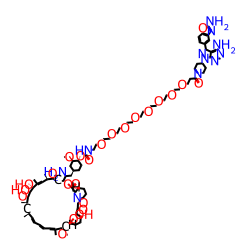 CO[C@H]1C[C@@H]2CC[C@@H](C)[C@@](O)(O2)C(=O)C(=O)N2CCCC[C@H]2C(=O)O[C@H]([C@H](N)C[C@@H]2CC[C@@H](OC(=O)NCCOCCOCCOCCOCCOCCOCCOCCOCCC(=O)N3CCC(n4nc(-c5ccc6oc(N)nc6c5)c5c(N)ncnc54)CC3)[C@H](OC)C2)CC(=O)[C@H](C)/C=C(\C)[C@@H](O)[C@@H](O)C(=O)[C@H](C)C[C@H](C)/C=C/C=C/C=C/1C